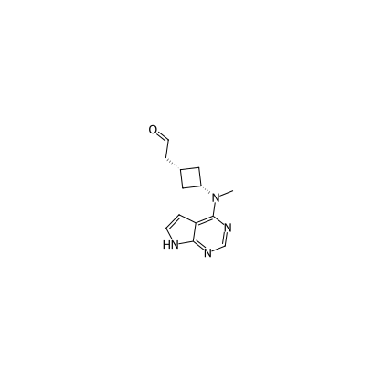 CN(c1ncnc2[nH]ccc12)[C@H]1C[C@@H](CC=O)C1